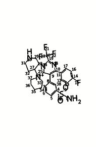 NS(=O)(=O)c1cccc(-c2c(-c3ccc(F)cc3)nc(C(F)(F)F)nc2[N+]2(C3CCNCC3)CCCCC2)c1